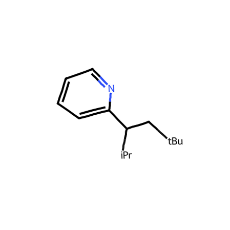 CC(C)C(CC(C)(C)C)c1ccccn1